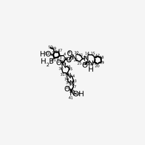 Bc1cc(C[C@@H](OC(=O)N2CCC(N3CCc4ccccc4NC3=O)CC2)C(=O)N2CCC(N3CCN(CC(=O)N(C)O)CC3)CC2)cc(C=C)c1O